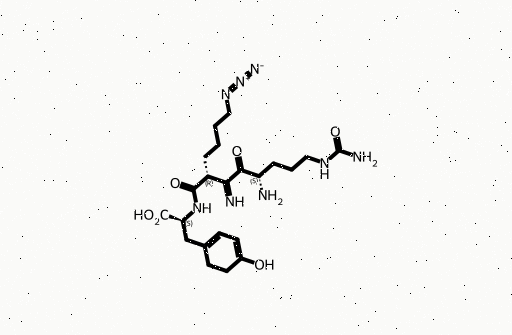 [N-]=[N+]=NCCCC[C@H](C(=N)C(=O)[C@@H](N)CCCNC(N)=O)C(=O)N[C@@H](CC1=CC=C(O)CC1)C(=O)O